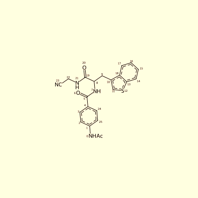 CC(=O)Nc1ccc(C(=O)NC(Cc2csc3ccccc23)C(=O)NCC#N)cc1